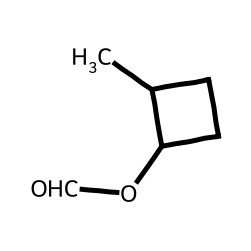 CC1CCC1OC=O